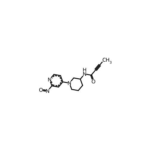 CC#CC(=O)NC1CCCN(c2ccnc(N=O)c2)C1